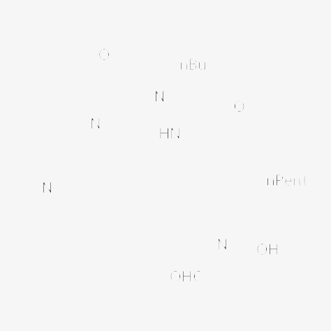 CCCCC[C@H](CN(O)C=O)C(=O)NN(CCCC)C(=O)N1CCN(C)CC1